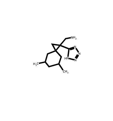 CC1CC(C)CC2(C1)CC2(CN)c1nnn[nH]1